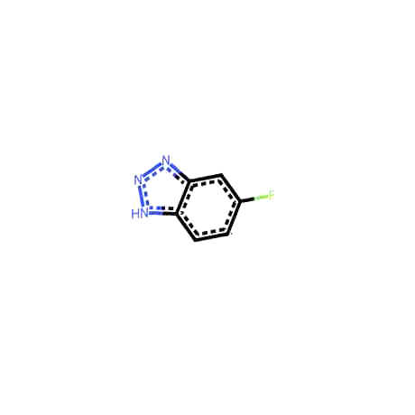 Fc1[c]cc2[nH]nnc2c1